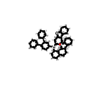 c1ccc(-c2ccc(N(c3ccc4c(c3)oc3ccccc34)c3cccc4ccc5c6ccccc6sc5c34)cc2-c2ccccc2)cc1